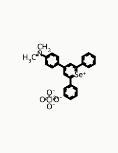 CN(C)c1ccc(-c2cc(-c3ccccc3)[se+]c(-c3ccccc3)c2)cc1.[O-][Cl+3]([O-])([O-])[O-]